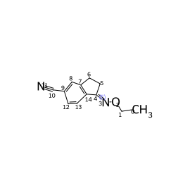 CCO/N=C1\CCc2cc(C#N)ccc21